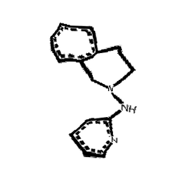 c1ccc(NN2CCc3ccccc3C2)nc1